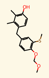 COCOc1ccc(Cc2ccc(O)c(C)c2C)cc1SC